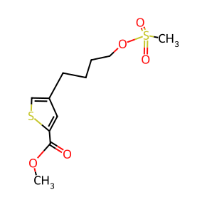 COC(=O)c1cc(CCCCOS(C)(=O)=O)cs1